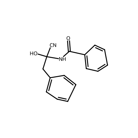 N#CC(O)(Cc1ccccc1)NC(=O)c1ccccc1